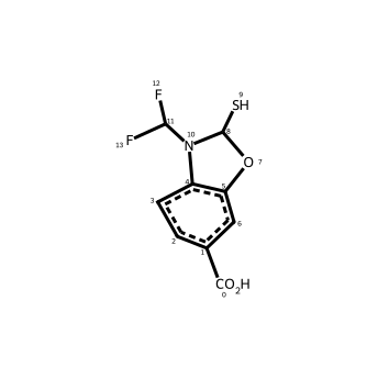 O=C(O)c1ccc2c(c1)OC(S)N2C(F)F